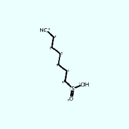 N#CCCCCCCS(=O)O